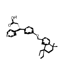 CCC1(CC)CCC(C)(C)c2ccc(COc3ccc([C@@H](CC(=O)O)c4ccncc4)cc3)cc21